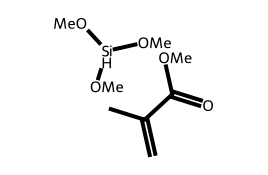 C=C(C)C(=O)OC.CO[SiH](OC)OC